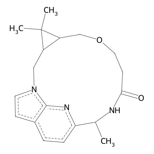 CC1NC(=O)CCOCC2C(Cn3ccc4ccc1nc43)C2(C)C